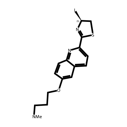 CNCCCOc1ccc2nc(C3=N[C@@H](I)CS3)ccc2c1